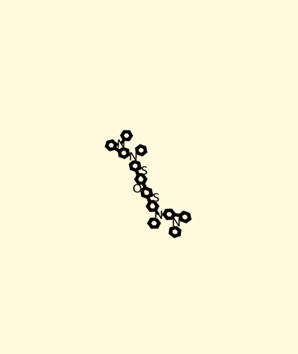 c1ccc(N(c2ccc3c(c2)sc2cc4c(cc23)oc2cc3c(cc24)sc2cc(N(c4ccccc4)c4ccc5c6ccccc6n(-c6ccccc6)c5c4)ccc23)c2ccc3c4ccccc4n(-c4ccccc4)c3c2)cc1